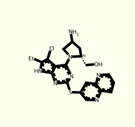 CCc1[nH]c2nc(Sc3cnc4cccnc4c3)nc(N3CC(N)C[C@@H]3CO)c2c1Cl